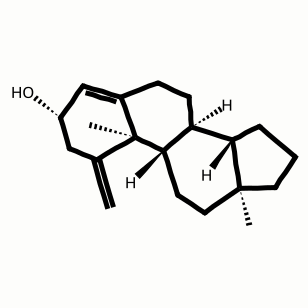 C=C1C[C@H](O)C=C2CC[C@H]3[C@@H]4CCC[C@@]4(C)CC[C@@H]3[C@@]12C